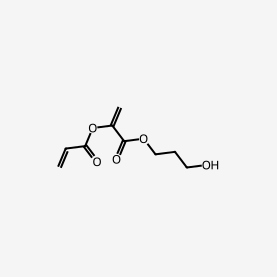 C=CC(=O)OC(=C)C(=O)OCCCO